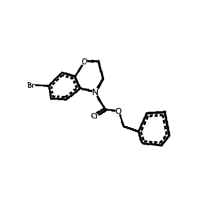 O=C(OCc1ccccc1)N1CCOc2cc(Br)ccc21